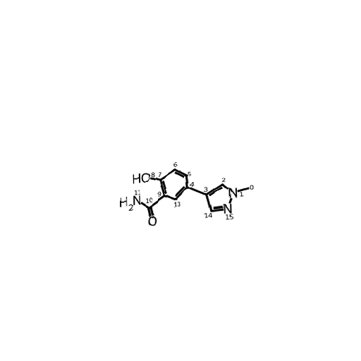 Cn1cc(-c2ccc(O)c(C(N)=O)c2)cn1